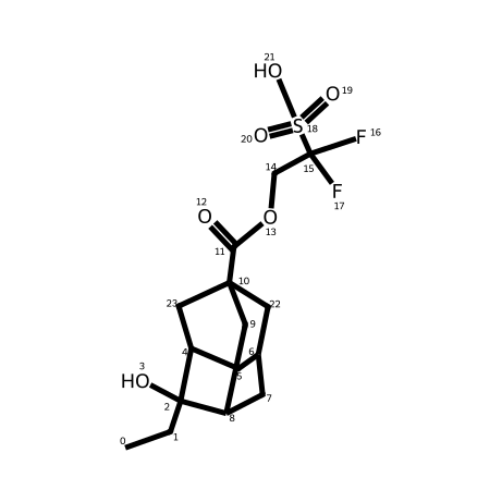 CCC1(O)C2CC3CC1CC(C(=O)OCC(F)(F)S(=O)(=O)O)(C3)C2